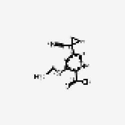 CCSc1cc(C2(C#N)CC2)cnc1C(=O)Cl